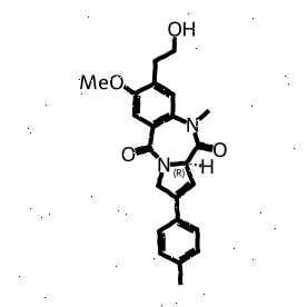 COc1cc2c(cc1CCO)N(C)C(=O)[C@H]1C=C(c3ccc(C)cc3)CN1C2=O